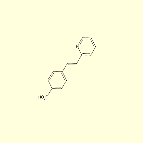 O=C(O)c1ccc(C=Cc2ccccn2)cc1